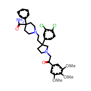 COc1cc(C(=O)CN2CCC(CCN3CCC(C(N)=O)(c4ccccc4)CC3)(c3ccc(Cl)c(Cl)c3)C2)cc(OC)c1OC